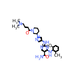 COc1cccc(C)c1Nc1nc(Nc2cnn(C3CCCN(C(=O)/C=C/CN(C)C)C3)c2)ncc1C(N)=O